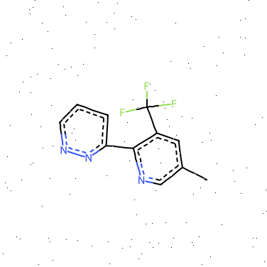 Cc1cnc(-c2cccnn2)c(C(F)(F)F)c1